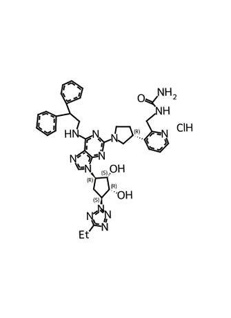 CCc1nnn([C@H]2C[C@@H](n3cnc4c(NCC(c5ccccc5)c5ccccc5)nc(N5CC[C@H](c6cccnc6CNC(N)=O)C5)nc43)[C@H](O)[C@@H]2O)n1.Cl